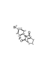 O=C1C2=CC(CCC2)C(=O)N1c1ccc(Br)cc1F